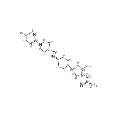 Cc1cnc(N2CCC(ON=C3CCC(c4ccc(NC(N)=O)c(F)c4)CC3)CC2)nc1